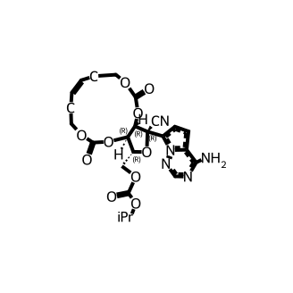 CC(C)OC(=O)OC[C@H]1O[C@@](C#N)(c2ccc3c(N)ncnn23)[C@@H]2OC(=O)OCCC=CCCOC(=O)O[C@@H]21